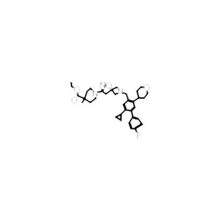 CCOC(=O)C1(C)CCN(C2=NOC3(C2)CN(Cc2cc(C4CC4)c(-c4ccc(F)cc4)cc2C2CCOCC2)C3)CC1